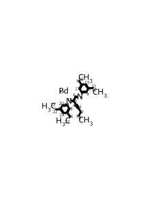 CCCC#CC(/C=N/c1cc(CC)cc(CC)c1)=N\c1cc(CC)cc(CC)c1.[Pd]